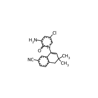 CC1(C)C=C(n2cc(Cl)cc(N)c2=O)c2cc(C#N)ccc2C1